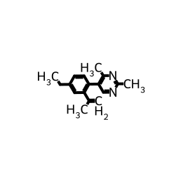 C=C(C)c1cc(CC)ccc1-c1cnc(C)nc1C